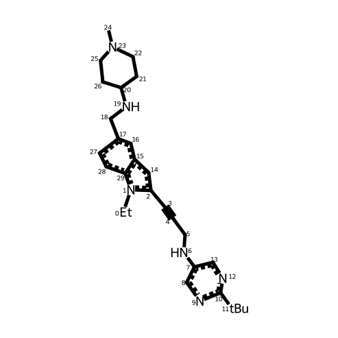 CCn1c(C#CCNc2cnc(C(C)(C)C)nc2)cc2cc(CNC3CCN(C)CC3)ccc21